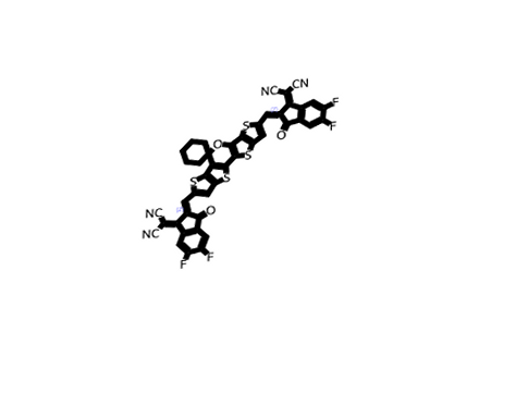 N#CC(C#N)=C1/C(=C/c2cc3sc4c(c3s2)OC2(CCCCC2)c2c-4sc3cc(/C=C4\C(=O)c5cc(F)c(F)cc5C4=C(C#N)C#N)sc23)C(=O)c2cc(F)c(F)cc21